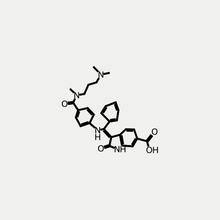 CN(C)CCCN(C)C(=O)c1ccc(N/C(=C2\C(=O)Nc3cc(C(=O)O)ccc32)c2ccccc2)cc1